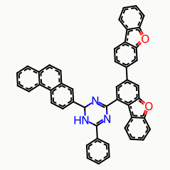 c1ccc(C2=NC(c3cc(-c4ccc5c(c4)oc4ccccc45)cc4oc5ccccc5c34)=NC(c3ccc4c(ccc5ccccc54)c3)N2)cc1